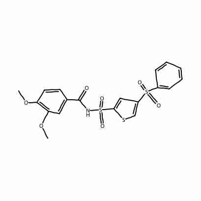 COc1ccc(C(=O)NS(=O)(=O)c2cc(S(=O)(=O)c3ccccc3)cs2)cc1OC